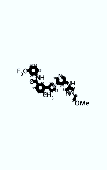 COCCn1cc(Nc2cncc(N3CCC(c4cc(C(=O)Nc5cccc(C(F)(F)F)c5)ccc4C)C3)c2)cn1